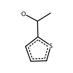 CC([O])c1cccs1